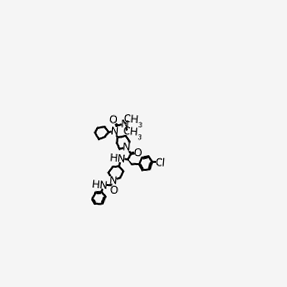 CN(C)C(=O)N(C1CCCCC1)C1CCN(C(=O)[C@@H](Cc2ccc(Cl)cc2)NC2CCN(C(=O)Nc3ccccc3)CC2)CC1